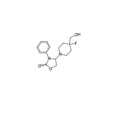 O=C1OCC(N2CCC(F)(CO)CC2)N1c1ccccc1